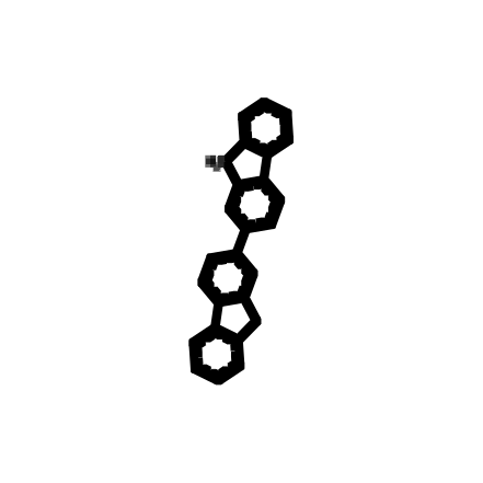 c1ccc2c(c1)Cc1cc(-c3ccc4c(c3)[SiH2]c3ccccc3-4)ccc1-2